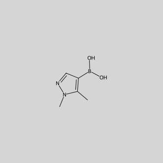 Cc1c(B(O)O)cnn1C